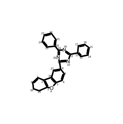 C1=Cc2c(oc3ccc(-c4nc(-c5ccccc5)nc(-c5ccccc5)n4)cc23)CC1